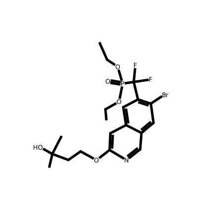 CCOP(=O)(OCC)C(F)(F)c1cc2cc(OCCC(C)(C)O)ncc2cc1Br